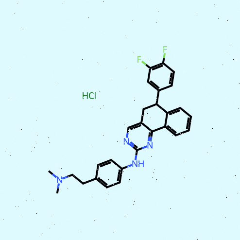 CN(C)CCc1ccc(Nc2ncc3c(n2)-c2ccccc2C(c2ccc(F)c(F)c2)C3)cc1.Cl